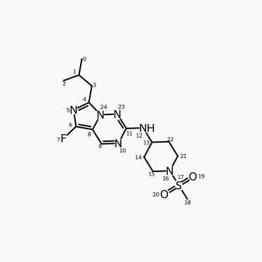 CC(C)Cc1nc(F)c2cnc(NC3CCN(S(C)(=O)=O)CC3)nn12